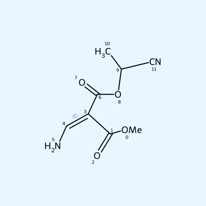 COC(=O)/C(=C\N)C(=O)OC(C)C#N